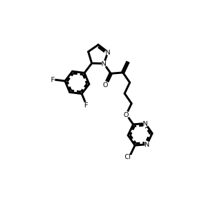 C=C(CCCOc1cc(Cl)ncn1)C(=O)N1N=CCC1c1cc(F)cc(F)c1